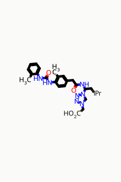 Cc1ccccc1NC(=O)Nc1ccc(CC(=O)NC(CC(C)C)N2CN(CC(=O)O)N=N2)cc1C